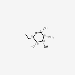 CC[C@@H]1O[C@H](O)[C@H](N)[C@H](O)[C@@H]1O